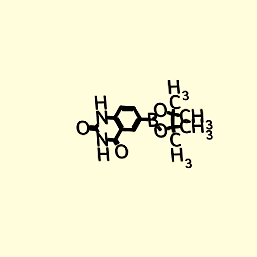 CC1(C)OB(c2ccc3[nH]c(=O)[nH]c(=O)c3c2)OC1(C)C